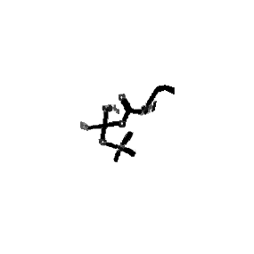 C=CNC(=O)OC([SiH3])(CC)O[Si](C)(C)C